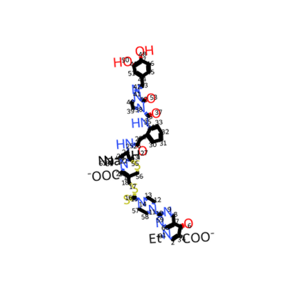 CCn1cc(C(=O)[O-])c(=O)c2cnc(N3CCN(C(=S)SCC4=C(C(=O)[O-])N5C[C@@H](NC(=O)Cc6ccccc6NC(=O)N6CCN(N=Cc7ccc(O)c(O)c7)C6=O)[C@H]5SC4)CC3)nc21.[Na+].[Na+]